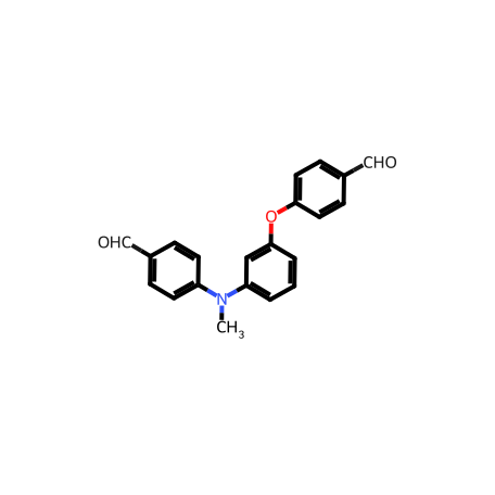 CN(c1ccc(C=O)cc1)c1cccc(Oc2ccc(C=O)cc2)c1